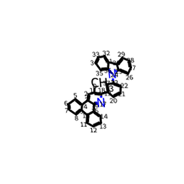 Cc1cc2c3ccccc3c3ccccc3c2nc1-c1cccc(-n2c3ccccc3c3ccccc32)c1